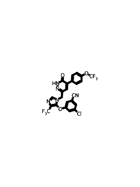 N#Cc1cc(Cl)cc(Oc2c(C(F)(F)F)ncn2Cc2cc(-c3ccc(OC(F)(F)F)cc3)c(=O)[nH]n2)c1